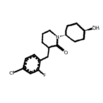 O=C1C(Cc2ccc(Cl)cc2F)CCCN1[C@H]1CC[C@H](O)CC1